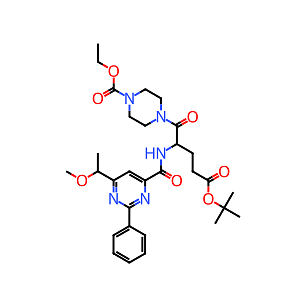 CCOC(=O)N1CCN(C(=O)C(CCC(=O)OC(C)(C)C)NC(=O)c2cc(C(C)OC)nc(-c3ccccc3)n2)CC1